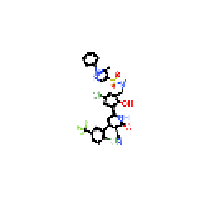 Cc1c(S(=O)(=O)N(C)Cc2cc(Cl)cc(-c3cc(-c4cc(C(F)(F)F)ccc4Cl)c(C#N)c(=O)[nH]3)c2O)cnn1-c1ccccc1